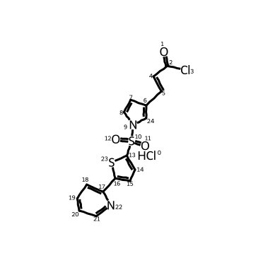 Cl.O=C(Cl)/C=C/c1ccn(S(=O)(=O)c2ccc(-c3ccccn3)s2)c1